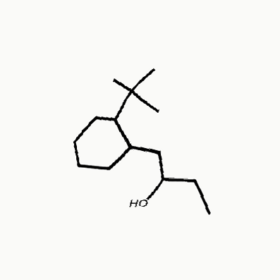 CCC(O)CC1CCCCC1C(C)(C)C